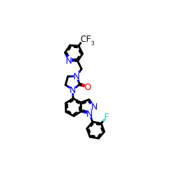 O=C1N(Cc2cc(C(F)(F)F)ccn2)CCN1c1cccc2c1cnn2-c1ccccc1F